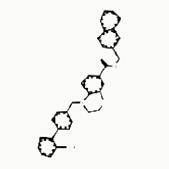 C[C@H](NC(=O)c1ccc2c(c1)OCCN2Cc1ccc(-c2ccccc2C(=O)O)cc1)c1ccc2ccccc2c1